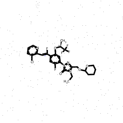 CCn1c(COC2CCCCO2)nn(-c2cc(O[C@@H](C)C(F)(F)F)c(/C(F)=C/c3ncccc3Cl)cc2F)c1=O